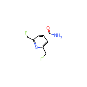 FCc1cccc(CF)n1.NC=O